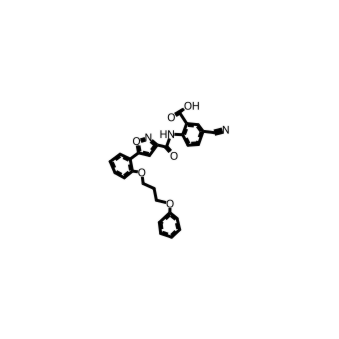 N#Cc1ccc(NC(=O)c2cc(-c3ccccc3OCCCOc3ccccc3)on2)c(C(=O)O)c1